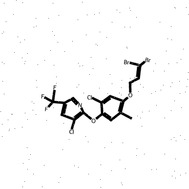 Cc1cc(Oc2ncc(C(F)(F)F)cc2Cl)c(Cl)cc1OCC=C(Br)Br